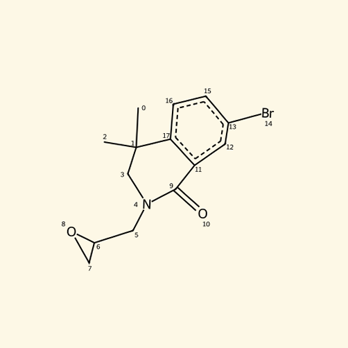 CC1(C)CN(CC2CO2)C(=O)c2cc(Br)ccc21